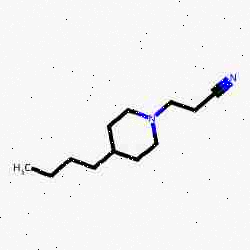 CCCCC1CCN(CCC#N)CC1